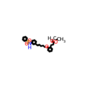 CC(C)OC(=O)CCc1ccccc1OCCC/C=C/c1cccc(NS(=O)(=O)c2ccccc2)c1